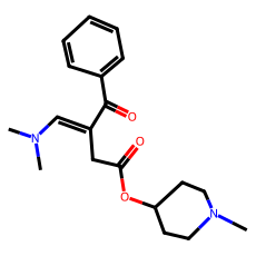 CN(C)C=C(CC(=O)OC1CCN(C)CC1)C(=O)c1ccccc1